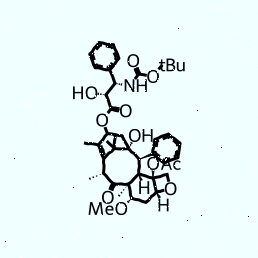 CO[C@H]1C[C@H]2OC[C@@]2(OC(C)=O)[C@H]2[C@H](c3ccccc3)[C@]3(O)CC(OC(=O)[C@H](O)[C@@H](NC(=O)OC(C)(C)C)c4ccccc4)C(C)=C([C@@H](C)C(=O)[C@]12C)C3(C)C